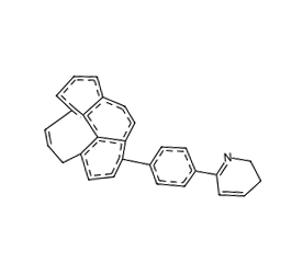 C1=CC(c2ccc(-c3ccc4c5c3ccc3cccc(c35)C=CC4)cc2)=NCC1